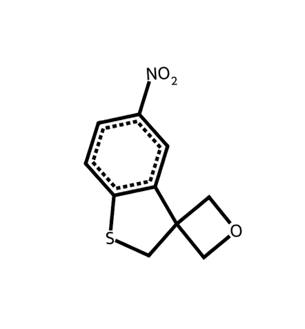 O=[N+]([O-])c1ccc2c(c1)C1(COC1)CS2